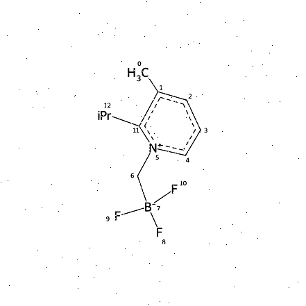 Cc1ccc[n+](C[B-](F)(F)F)c1C(C)C